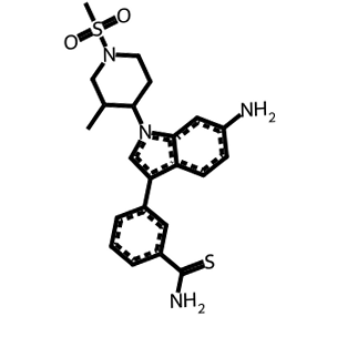 CC1CN(S(C)(=O)=O)CCC1n1cc(-c2cccc(C(N)=S)c2)c2ccc(N)cc21